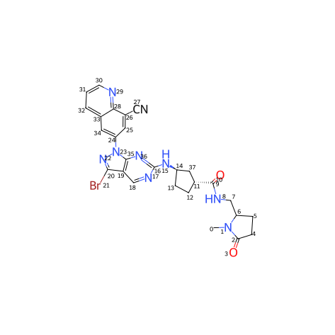 CN1C(=O)CCC1CNC(=O)[C@@H]1CC[C@@H](Nc2ncc3c(Br)nn(-c4cc(C#N)c5ncccc5c4)c3n2)C1